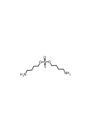 NCCCCOS(=O)(=S)OCCCCN